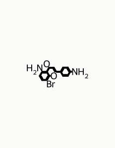 Nc1ccc(-c2cc(=O)c3c(N)ccc(Br)c3o2)cc1